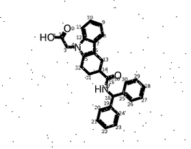 O=C(O)Cn1c2c(c3ccccc31)CC(C(=O)NC(c1ccccc1)c1ccccc1)CC2